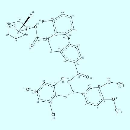 COc1ccc([C@H](Cc2c(Cl)c[n+]([O-])cc2Cl)OC(=O)c2cccc(CN(C(=O)O[C@H]3CN4CCC3CC4)c3c(F)cccc3F)c2)cc1OC